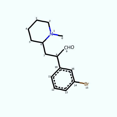 CN1CCCCC1CC(C=O)c1cccc(Br)c1